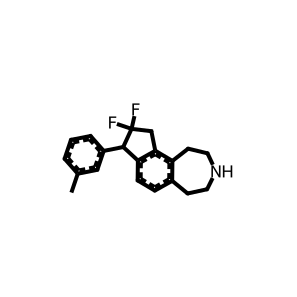 Cc1cccc(C2c3ccc4c(c3CC2(F)F)CCNCC4)c1